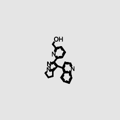 OCc1cccc(-c2nn3c(c2-c2ccnc4ccccc24)CCC3)n1